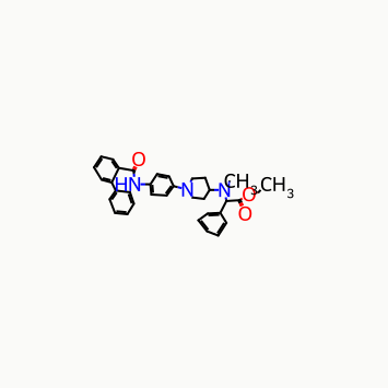 CCOC(=O)C(c1ccccc1)N(C)C1CCN(c2ccc(NC(=O)c3ccccc3-c3ccccc3)cc2)CC1